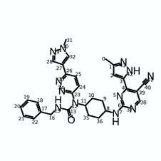 Cc1cc(-c2nc(NC3CCC(N(C(=O)NCc4ccccc4)c4ccc(-c5cnn(C)c5)nn4)CC3)ncc2C#N)[nH]n1